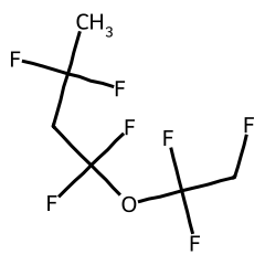 CC(F)(F)CC(F)(F)OC(F)(F)CF